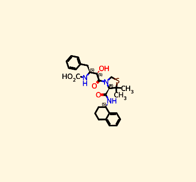 CC1(C)SCN(C(=O)[C@@H](O)[C@H](Cc2ccccc2)NC(=O)O)[C@@H]1C(=O)N[C@H]1CCCc2ccccc21